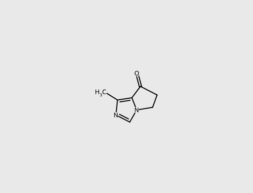 Cc1ncn2c1C(=O)CC2